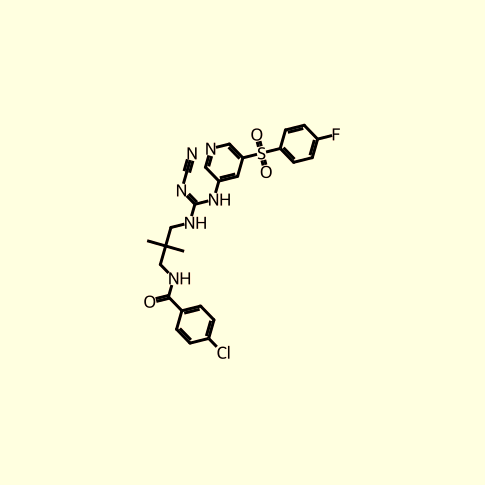 CC(C)(CNC(=O)c1ccc(Cl)cc1)CNC(=NC#N)Nc1cncc(S(=O)(=O)c2ccc(F)cc2)c1